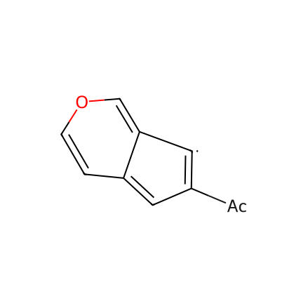 CC(=O)c1[c]c2coccc-2c1